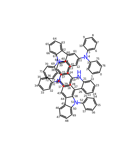 c1ccc(N(c2ccccc2)c2cc(-c3ccccc3Nc3ccccc3-c3cc(N(c4ccccc4)c4ccccc4)cc4c5ccccc5n(-c5ccccc5)c34)c3c(c2)c2ccccc2n3-c2ccccc2)cc1